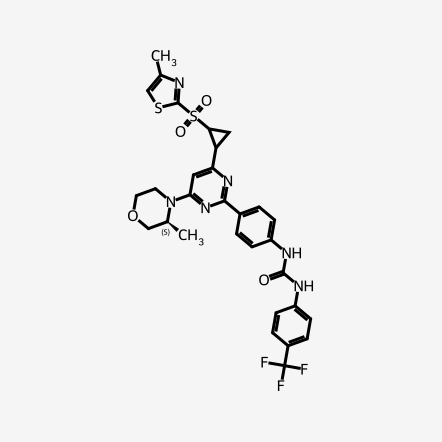 Cc1csc(S(=O)(=O)C2CC2c2cc(N3CCOC[C@@H]3C)nc(-c3ccc(NC(=O)Nc4ccc(C(F)(F)F)cc4)cc3)n2)n1